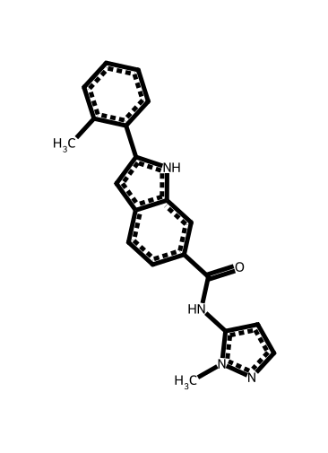 Cc1ccccc1-c1cc2ccc(C(=O)Nc3ccnn3C)cc2[nH]1